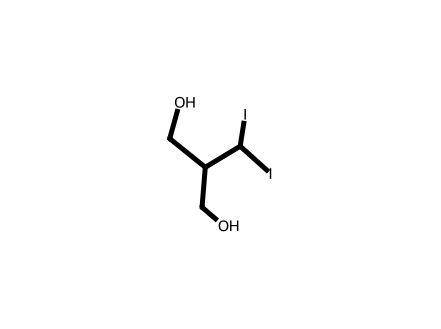 OCC(CO)C(I)I